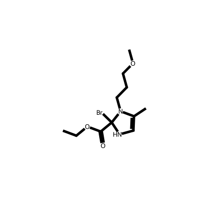 CCOC(=O)C1(Br)NC=C(C)N1CCCOC